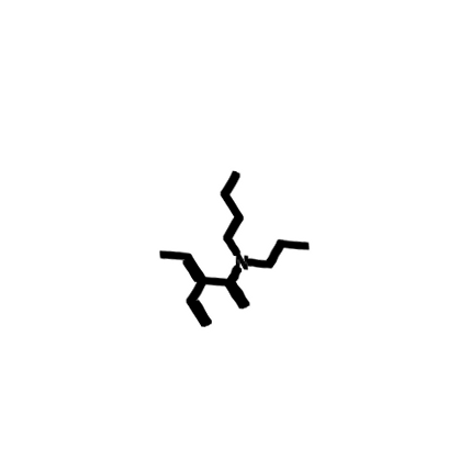 C=C/C(=C\C)C(=C)N(CCC)CCCC